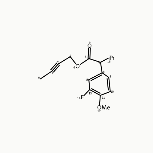 CC#CCOC(=O)C(c1ccc(OC)c(F)c1)C(C)C